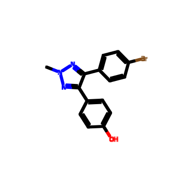 Cn1nc(-c2ccc(O)cc2)c(-c2ccc(Br)cc2)n1